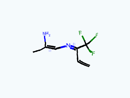 C=C/C(=N\C=C(\C)N)C(F)(F)F